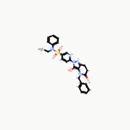 CCN(c1ccccc1)S(=O)(=O)c1ccc(-n2nc3c(c2O)N(Cc2ccccc2)C(=O)CC3)nc1